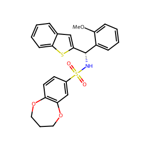 COc1ccccc1[C@H](NS(=O)(=O)c1ccc2c(c1)OCCCO2)c1cc2ccccc2s1